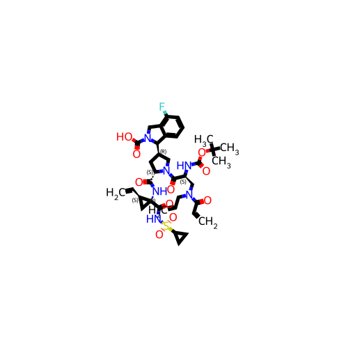 C=CCN(C[C@H](NC(=O)OC(C)(C)C)C(=O)N1C[C@H](C2c3cccc(F)c3CN2C(=O)O)C[C@H]1C(=O)N[C@]1(C(=O)NS(=O)(=O)C2CC2)C[C@H]1C=C)C(=O)C=C